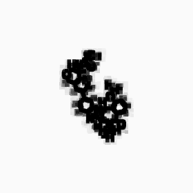 [2H]C([2H])([2H])N1C(=O)c2cccc(OC(F)F)c2[C@H]2C[C@@H]1c1nc3ccc(-c4cnc5c(c4)COCC5(C)N[S+]([O-])C(C)(C)C)cc3n12